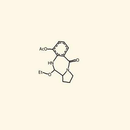 CCOC1Nc2c(OC(C)=O)cccc2C(=O)N2CCCC12